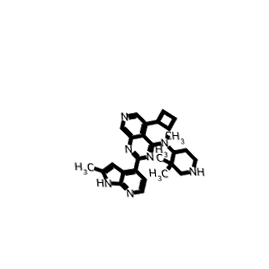 Cc1cc2c(-c3nc(N(C)C4CCNCC4(C)C)c4c(C5CCC5)cncc4n3)ccnc2[nH]1